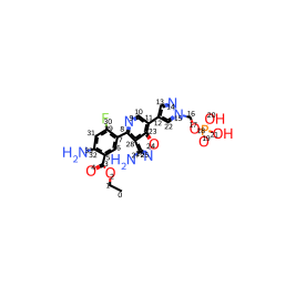 CCOC(=O)c1cc(-c2ncc(-c3cnn(COP(=O)(O)O)c3)c3onc(N)c23)c(F)cc1N